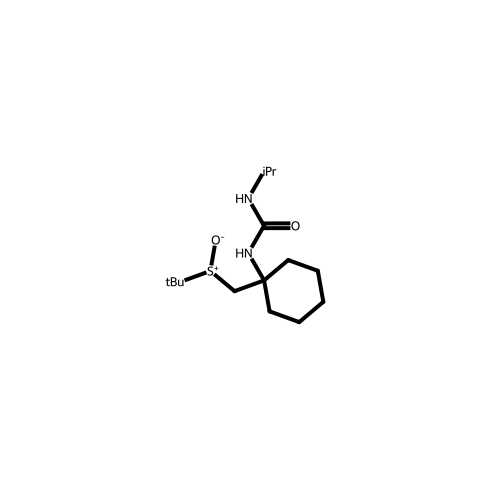 CC(C)NC(=O)NC1(C[S+]([O-])C(C)(C)C)CCCCC1